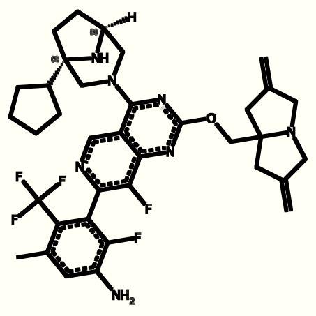 C=C1CN2CC(=C)CC2(COc2nc(N3C[C@@H]4CC[C@](C5CCCC5)(C3)N4)c3cnc(-c4c(F)c(N)cc(C)c4C(F)(F)F)c(F)c3n2)C1